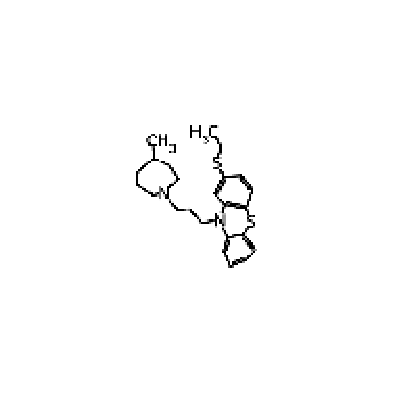 CCSc1ccc2c(c1)N(CCCN1CCCC(C)CC1)c1ccccc1S2